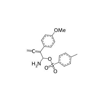 C=C=C(c1ccc(OC)cc1)C(N)OS(=O)(=O)c1ccc(C)cc1